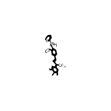 Cc1cc(C(/C=C/c2ccc(CNc3ccccn3)c(Cl)c2)C(F)(F)F)cc(C)c1C